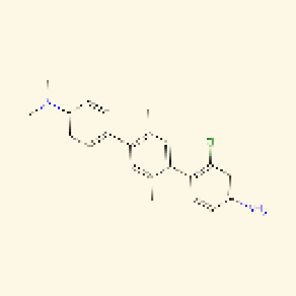 Cc1cc(-c2ccc(N)cc2Cl)c(C)cc1-c1ccc(N(C)C)cc1